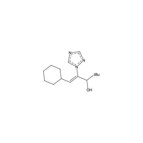 CC(C)(C)C(O)/C(=C/C1CCCCC1)n1cncn1